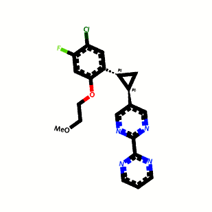 COCCOc1cc(F)c(Cl)cc1[C@@H]1C[C@H]1c1cnc(-c2ncccn2)nc1